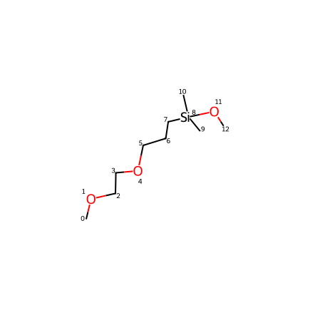 COCCOCCC[Si](C)(C)OC